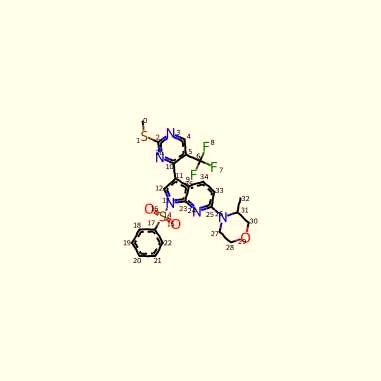 CSc1ncc(C(F)(F)F)c(-c2cn(S(=O)(=O)c3ccccc3)c3nc(N4CCOCC4C)ccc23)n1